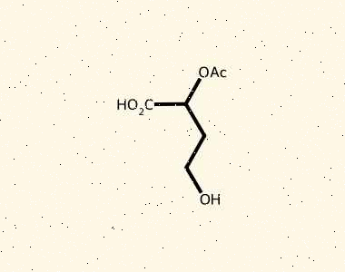 CC(=O)OC(CCO)C(=O)O